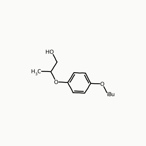 CCC(C)Oc1ccc(OC(C)CO)cc1